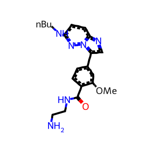 CCCCNc1ccc2ncc(-c3ccc(C(=O)NCCN)c(OC)c3)n2n1